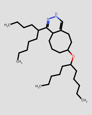 CCCCCC(CCCCC)OC1CCCC2C(=CNN=C2C(CCCC)CCCCC)CC1